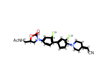 CC(=O)NCC1CN(c2ccc(-c3ccc(N4CCC(=CC#N)CC4)c(F)c3)c(F)c2)C(=O)O1